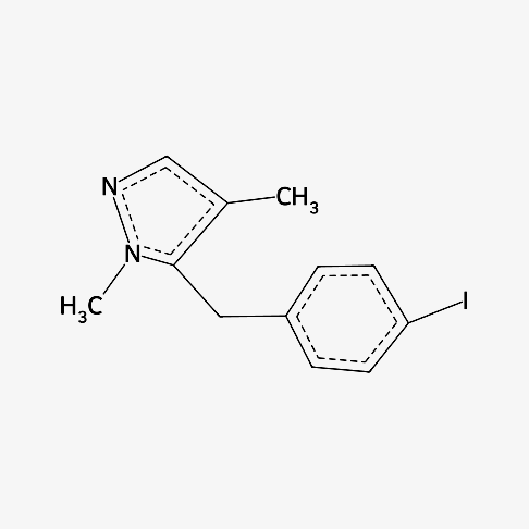 Cc1cnn(C)c1Cc1ccc(I)cc1